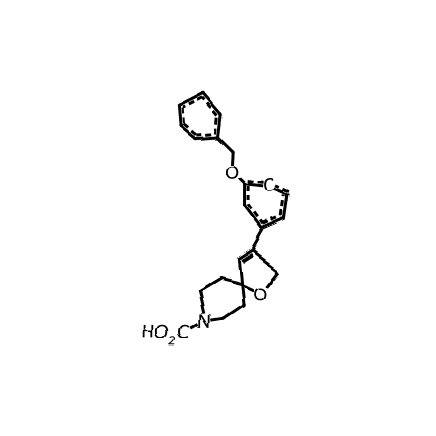 O=C(O)N1CCC2(C=C(c3cccc(OCc4ccccc4)c3)CO2)CC1